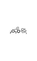 CC(C)c1ccc2c(c1)C(Cl)Cc1ccc(F)cc1S2